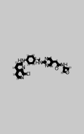 O=C(Cc1cnc(NC[C@H]2CC[C@H](Nc3ccc4ccnc(Cl)c4n3)CC2)nc1)NC1COC1